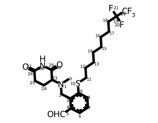 CN(Cc1c(C=O)cccc1SCCCCCCCCC(F)(F)C(F)(F)F)C1CCC(=O)NC1=O